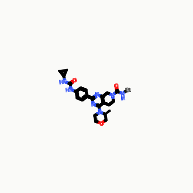 CCNC(=O)N1CCc2c(nc(-c3ccc(NC(=O)NC4CC4)cc3)nc2N2CCOC[C@@H]2C)C1